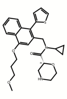 COCCCOc1cc(CN(C(=O)[C@H]2CNCCO2)C2CC2)c(-c2cccs2)c2ccccc12